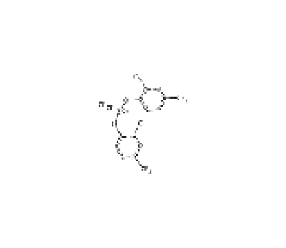 FC(F)(F)c1ccc([O][Zr+2][O]c2ccc(C(F)(F)F)cc2Cl)c(Cl)c1.[Cl-].[Cl-]